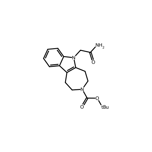 CC(C)(C)OC(=O)N1CCc2c(n(CC(N)=O)c3ccccc23)CC1